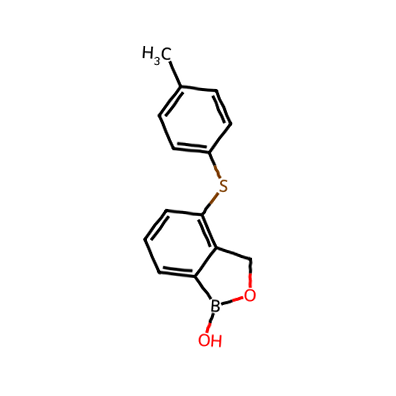 Cc1ccc(Sc2cccc3c2COB3O)cc1